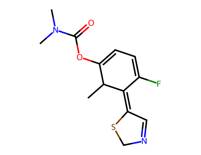 CC1C(OC(=O)N(C)C)=CC=C(F)C1=C1C=NCS1